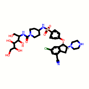 N#Cc1cc(Cl)cc2c1C[C@H](N1CCNCC1)[C@H]2Oc1ccc(S(=O)(=O)NC2CCN(C(=O)NC(CO)C(O)C(O)C(O)CO)CC2)cc1